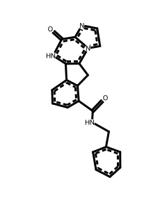 O=C(NCc1ccccc1)c1cccc2c1Cc1c-2[nH]c(=O)c2nccn12